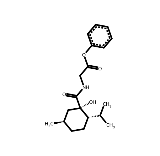 CC(C)[C@@H]1CC[C@@H](C)C[C@@]1(O)C(=O)NCC(=O)Oc1ccccc1